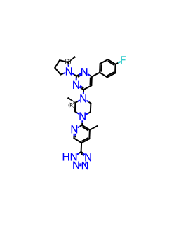 Cc1cc(-c2nnn[nH]2)cnc1N1CCN(c2cc(-c3ccc(F)cc3)nc(N3CCC[C@H]3C)n2)[C@H](C)C1